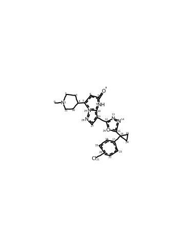 CN1CCC(c2cc(=O)[nH]c3c(-c4nnc(C5(c6ccc(Cl)cc6)CC5)o4)cnn23)CC1